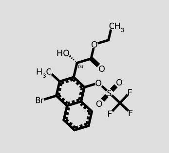 CCOC(=O)[C@@H](O)c1c(C)c(Br)c2ccccc2c1OS(=O)(=O)C(F)(F)F